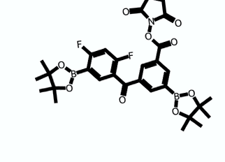 CC1(C)OB(c2cc(C(=O)ON3C(=O)CCC3=O)cc(C(=O)c3cc(B4OC(C)(C)C(C)(C)O4)c(F)cc3F)c2)OC1(C)C